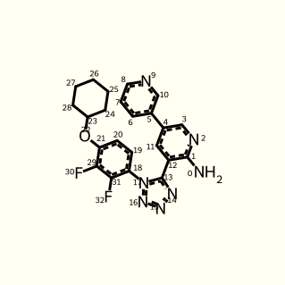 Nc1ncc(-c2cccnc2)cc1-c1nnnn1-c1ccc(OC2CCCCC2)c(F)c1F